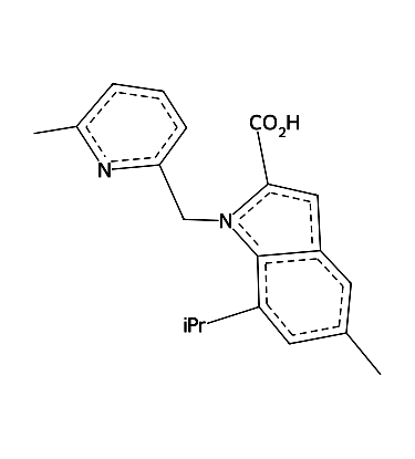 Cc1cc(C(C)C)c2c(c1)cc(C(=O)O)n2Cc1cccc(C)n1